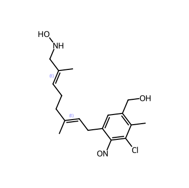 C/C(=C\Cc1cc(CO)c(C)c(Cl)c1N=O)CC/C=C(\C)CNO